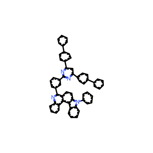 c1ccc(-c2ccc(-c3cc(-c4ccc(-c5ccccc5)cc4)nc(-c4cccc(-c5nc6ccccc6c6c5ccc5c6c6ccccc6n5-c5ccccc5)c4)n3)cc2)cc1